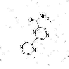 NC(=O)c1cncc(-c2cnccn2)n1